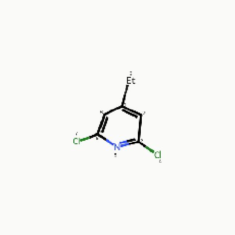 CCc1cc(Cl)nc(Cl)c1